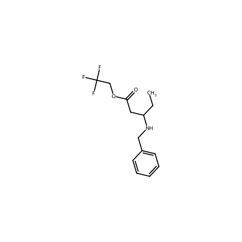 CCC(CC(=O)OCC(F)(F)F)NCc1ccccc1